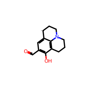 O=Cc1cc2c3c(c1O)CCCN3CC[CH]2